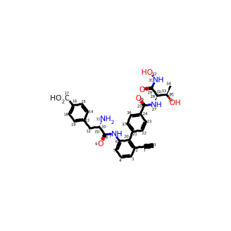 C#Cc1cccc(NC(=O)[C@@H](N)Cc2ccc(C(=O)O)cc2)c1-c1ccc(C(=O)N[C@H](C(=O)NO)[C@@H](C)O)cc1